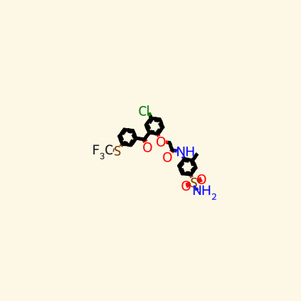 Cc1cc(S(N)(=O)=O)ccc1NC(=O)COc1ccc(Cl)cc1C(=O)c1cccc(SC(F)(F)F)c1